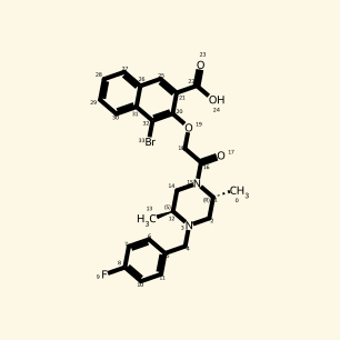 C[C@@H]1CN(Cc2ccc(F)cc2)[C@@H](C)CN1C(=O)COc1c(C(=O)O)cc2ccccc2c1Br